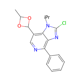 CC1OC(c2cnc(-c3ccccc3)c3nc(Cl)n(C(C)C)c23)O1